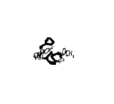 COC(=O)Cc1c(F)ccc(NS(=O)(=O)Cc2ccccc2)c1F